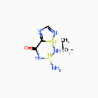 CS(=O)(=O)O.N[SH]1NC(=O)C2=NC=N[SH]2N1